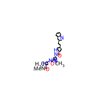 CNC(=O)c1cc(NC(=O)c2cc(NC(=O)c3ccc(/C=C/c4cnc5ccccc5c4)cc3)cn2C)cn1C